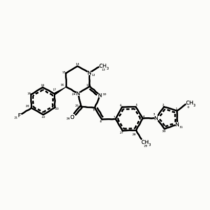 Cc1cn(-c2ccc(/C=C3\N=C4N(C)CC[C@H](c5ccc(F)cc5)N4C3=O)cc2C)cn1